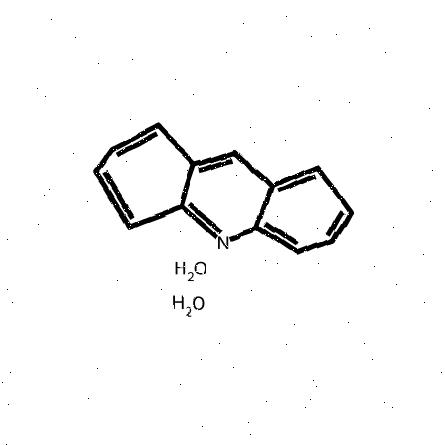 O.O.c1ccc2nc3ccccc3cc2c1